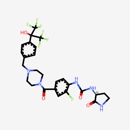 O=C(Nc1ccc(C(=O)N2CCN(Cc3ccc(C(O)(C(F)(F)F)C(F)(F)F)cc3)CC2)cc1F)N[C@H]1CCNC1=O